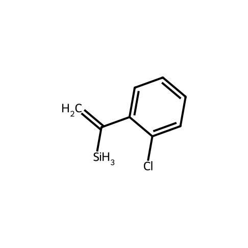 C=C([SiH3])c1ccccc1Cl